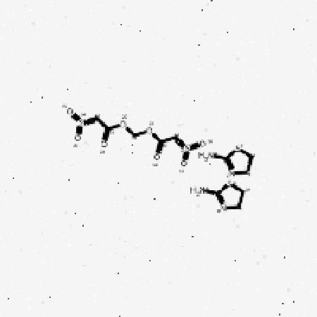 NC1=NCCS1.NC1=NCCS1.O=C(C=S(=O)=O)OCOC(=O)C=S(=O)=O